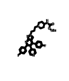 CCCCOC(=O)NC1CCN(CCCn2cc3c(-c4ccc(F)cc4)c(-c4ccncc4)c(-c4ccc(F)cc4)nc3n2)CC1